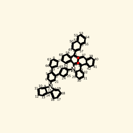 c1ccc(-c2ccc(-n3c4ccccc4c4ccccc43)cc2-c2ccc(N(c3ccccc3-c3cccc4ccccc34)c3ccc(-c4ccc5ccccc5c4)c4ccccc34)cc2)cc1